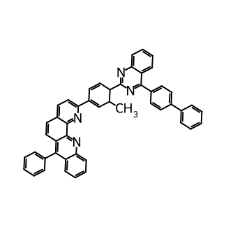 CC1C=C(c2ccc3ccc4c(-c5ccccc5)c5ccccc5nc4c3n2)C=CC1c1nc(-c2ccc(-c3ccccc3)cc2)c2ccccc2n1